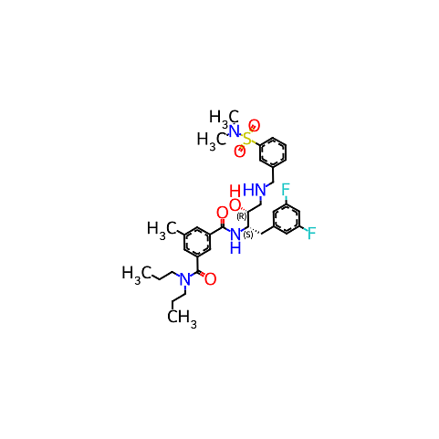 CCCN(CCC)C(=O)c1cc(C)cc(C(=O)N[C@@H](Cc2cc(F)cc(F)c2)[C@H](O)CNCc2cccc(S(=O)(=O)N(C)C)c2)c1